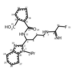 CC(C)n1c(C(CCCNC(=N)CF)NC(=O)c2ccccc2C(=O)O)nc2ccccc21